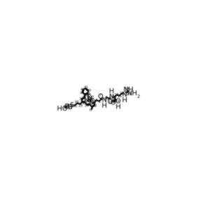 CC1=CC(CCC(=O)NCC(=O)NC(CCCNC(=N)N)C(=O)O)=[N+]2C1=Cc1c(CCCSOOO)cc(-c3ccccc3)n1[B-]2(F)F